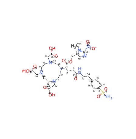 Cn1c(COC(=O)C(CCC(=O)NCCc2ccc(S(N)(=O)=O)cc2)N2CCN(CC(=O)O)CCN(CC(=O)O)CCN(CC(=O)O)CC2)cnc1[N+](=O)[O-]